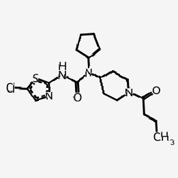 CCCC(=O)N1CCC(N(C(=O)Nc2ncc(Cl)s2)C2CCCC2)CC1